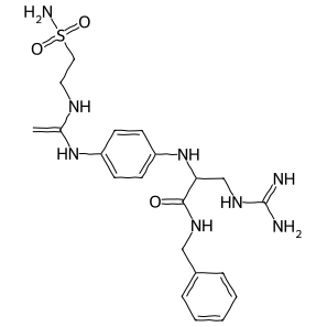 C=C(NCCS(N)(=O)=O)Nc1ccc(NC(CNC(=N)N)C(=O)NCc2ccccc2)cc1